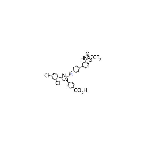 O=C(O)c1ccc(-n2cc(-c3ccc(Cl)cc3Cl)nc2/C=C/c2ccc(-c3cccc(NS(=O)(=O)CC(F)(F)F)c3)cc2)cc1